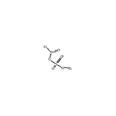 CCOS(=O)(=O)O[PH](=O)CC